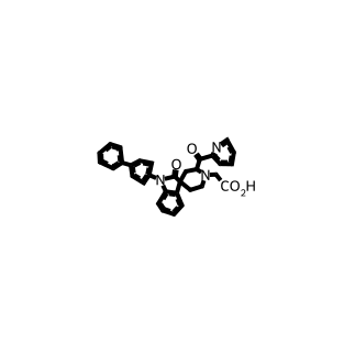 O=C(O)CN1CCC2(CC1C(=O)c1ccccn1)C(=O)N(c1ccc(-c3ccccc3)cc1)c1ccccc12